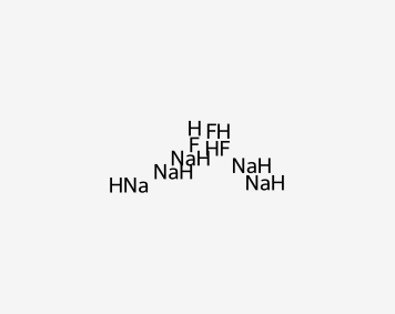 F.F.F.[NaH].[NaH].[NaH].[NaH].[NaH]